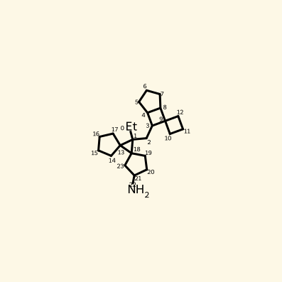 CCC1(CC2C3CCCC3C23CCC3)C2(CCCC2)C12CCC(N)C2